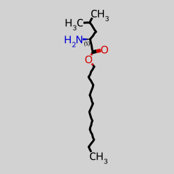 CCCCCCCCCCCOC(=O)[C@@H](N)CC(C)C